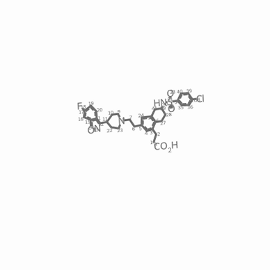 O=C(O)CCc1cc(CCN2CCC(c3noc4cc(F)ccc34)CC2)cc2c1CCC(NS(=O)(=O)c1ccc(Cl)cc1)C2